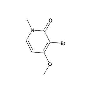 COc1ccn(C)c(=O)c1Br